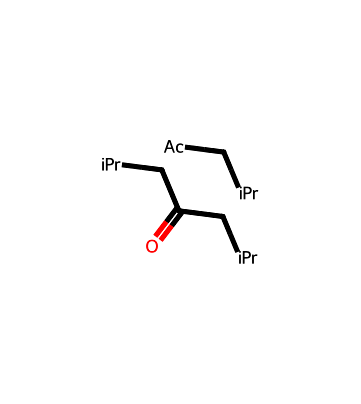 CC(=O)CC(C)C.CC(C)CC(=O)CC(C)C